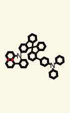 c1ccc(-c2ccccc2N(c2ccccc2)c2ccc3c(c2)C2(c4ccccc4-3)c3ccccc3-c3c(-c4ccc(N(c5ccccc5)c5ccccc5)cc4)cccc32)cc1